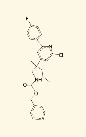 CCCC(C)(CNC(=O)OCc1ccccc1)c1cc(Cl)nc(-c2ccc(F)cc2)c1